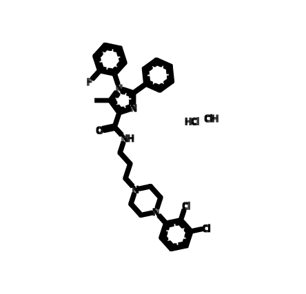 Cc1c(C(=O)NCCCN2CCN(c3cccc(Cl)c3Cl)CC2)nc(-c2ccccc2)n1-c1ccccc1F.Cl.Cl